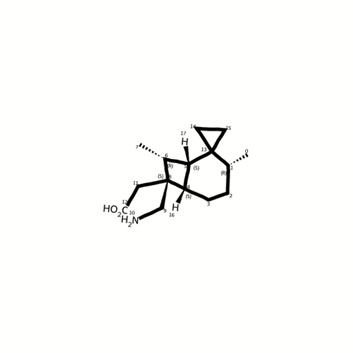 C[C@@H]1CC[C@H]2[C@H]([C@@H](C)[C@@]2(CN)CC(=O)O)C12CC2